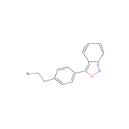 BrCCc1ccc(-c2onc3ccccc23)cc1